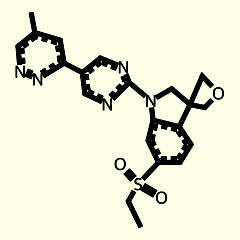 CCS(=O)(=O)c1ccc2c(c1)N(c1ncc(-c3cc(C)cnn3)cn1)CC21COC1